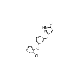 O=c1ccc(Cc2cccc(Oc3ccccc3Cl)c2)n[nH]1